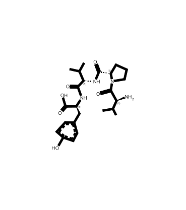 CC(C)[C@H](N)C(=O)N1CCC[C@H]1C(=O)N[C@H](C(=O)N[C@@H](Cc1ccc(O)cc1)C(=O)O)C(C)C